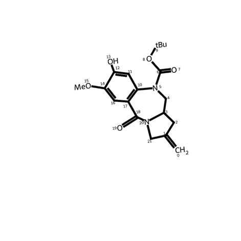 C=C1CC2CN(C(=O)OC(C)(C)C)c3cc(O)c(OC)cc3C(=O)N2C1